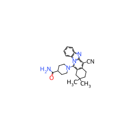 CC1(C)CCc2c(c(N3CCC(C(N)=O)CC3)n3c(nc4ccccc43)c2C#N)C1